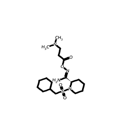 CN(C)CCC(=O)O/N=C(\N)[C@@H]1CCCCN1S(=O)(=O)CC1CCCCC1